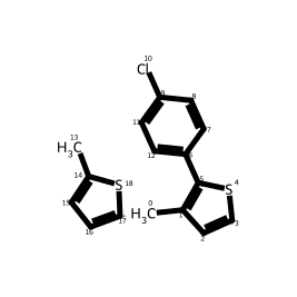 Cc1c[c]sc1-c1ccc(Cl)cc1.Cc1cc[c]s1